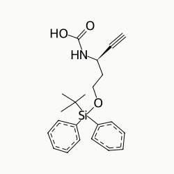 C#C[C@@H](CCO[Si](c1ccccc1)(c1ccccc1)C(C)(C)C)NC(=O)O